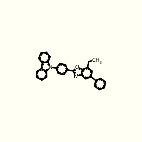 CCc1cc(-c2ccccc2)cc2nc(-c3ccc(-n4c5ccccc5c5ccccc54)cc3)oc12